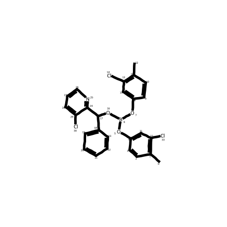 Cc1ccc(OB(Oc2ccc(C)c(Cl)c2)OC(c2ccccc2)c2ncccc2Cl)cc1Cl